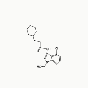 O=C(CCC1CCCCC1)Nc1cn(CO)c2cccc(Cl)c12